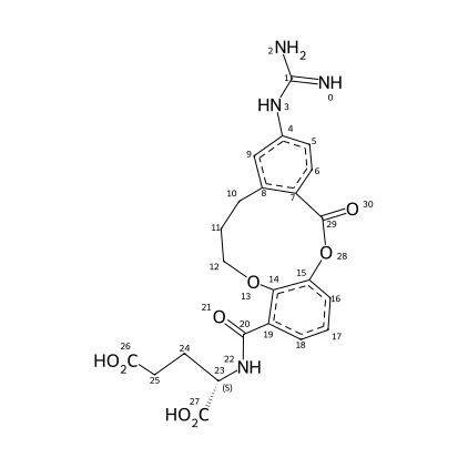 N=C(N)Nc1ccc2c(c1)CCCOc1c(cccc1C(=O)N[C@@H](CCC(=O)O)C(=O)O)OC2=O